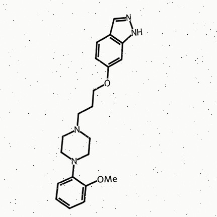 COc1ccccc1N1CCN(CCCOc2ccc3cn[nH]c3c2)CC1